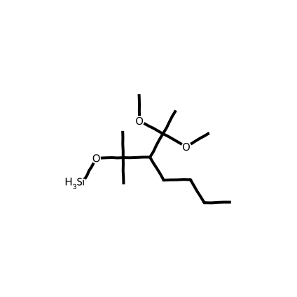 CCCCC(C(C)(C)O[SiH3])C(C)(OC)OC